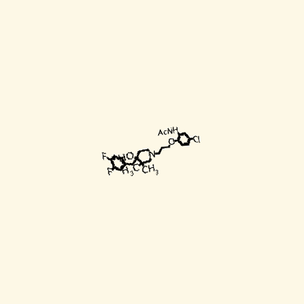 CC(=O)Nc1cc(Cl)ccc1OCCCN1CCC(O)(Cc2ccc(F)c(F)c2)C(C)(C)C1